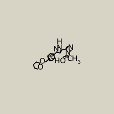 C[C@@H](CO)n1cncc1-c1cc(C23CCC(COC4CCCCO4)(CC2)CC3)n[nH]1